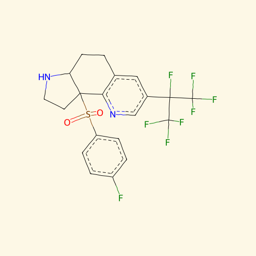 O=S(=O)(c1ccc(F)cc1)C12CCNC1CCc1cc(C(F)(C(F)(F)F)C(F)(F)F)cnc12